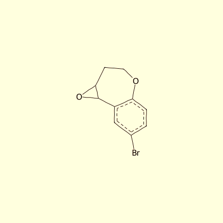 Brc1ccc2c(c1)C1OC1CCO2